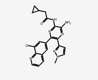 Cn1ccc(-c2nc(N)c(NC(=O)CC3CC3)nc2-c2cc(Cl)c3ncccc3c2)n1